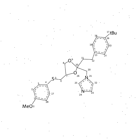 COc1ccc(SCC2COC(CCc3ccc(C(C)(C)C)cc3)(Cn3ccnc3)O2)cc1